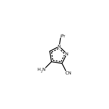 CC(C)n1cc(N)c(C#N)n1